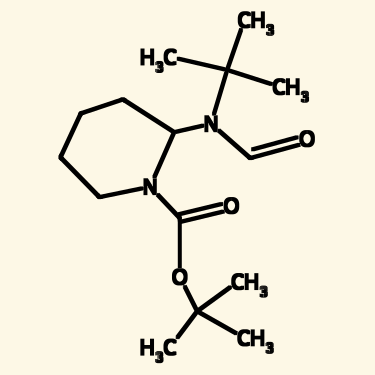 CC(C)(C)OC(=O)N1CCCCC1N(C=O)C(C)(C)C